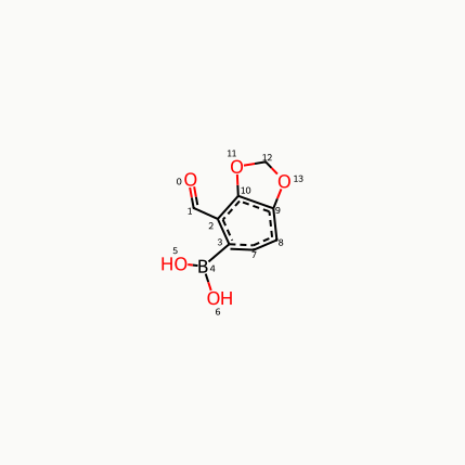 O=Cc1c(B(O)O)ccc2c1OCO2